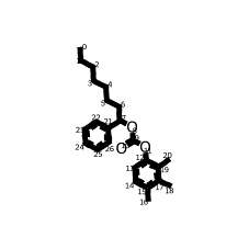 CCCCCCCC(OC(=O)Oc1ccc(C)c(C)c1C)c1ccccc1